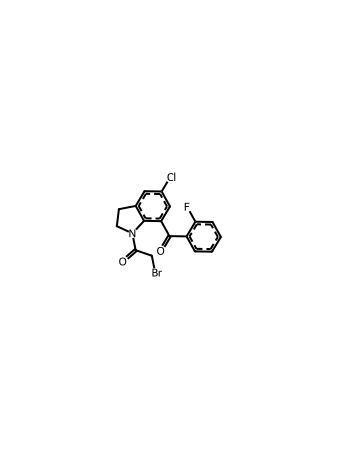 O=C(c1ccccc1F)c1cc(Cl)cc2c1N(C(=O)CBr)CC2